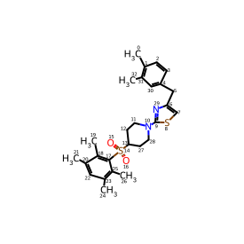 Cc1ccc(Cc2csc(N3CCC(S(=O)(=O)c4c(C)c(C)cc(C)c4C)CC3)n2)cc1C